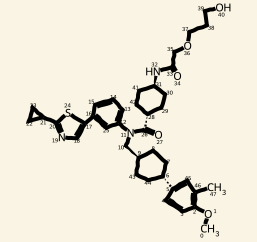 COc1ccc([C@H]2CC[C@H](CN(c3cccc(-c4cnc(C5CC5)s4)c3)C(=O)[C@H]3CC[C@H](NC(=O)COCCCO)CC3)CC2)cc1C